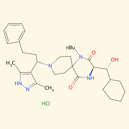 CCCCN1C(=O)[C@@H]([C@H](O)C2CCCCC2)NC(=O)C12CCN(C(CCc1ccccc1)c1c(C)n[nH]c1C)CC2.Cl